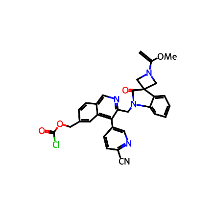 C=C(OC)N1CC2(C1)C(=O)N(Cc1ncc3ccc(COC(=O)Cl)cc3c1-c1ccc(C#N)nc1)c1ccccc12